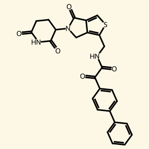 O=C1CCC(N2Cc3c(csc3CNC(=O)C(=O)c3ccc(-c4ccccc4)cc3)C2=O)C(=O)N1